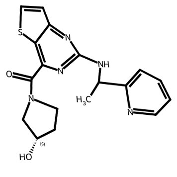 CC(Nc1nc(C(=O)N2CC[C@H](O)C2)c2sccc2n1)c1ccccn1